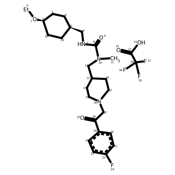 CCO[C@H]1CC[C@@H](CNC(=O)N(C)CC2CCN(CC(=O)c3ccc(F)cc3)CC2)CC1.O=C(O)C(F)(F)F